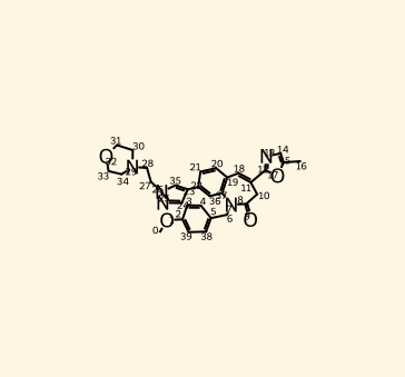 COc1ccc(CN2C(=O)CC(c3ncc(C)o3)=Cc3ccc(-c4cnn(CCN5CCOCC5)c4)cc32)cc1